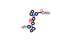 CCCc1ccc(N(c2ccc3c(c2)S(=O)(=O)c2cc(N(c4ccc(CCC(=O)OC)cc4)c4cccc5ccccc45)ccc2-3)c2cccc3ccccc23)cc1